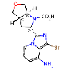 Nc1cccn2c([C@@H]3C[C@@H]4COC[C@H]4N3C(=O)O)nc(Br)c12